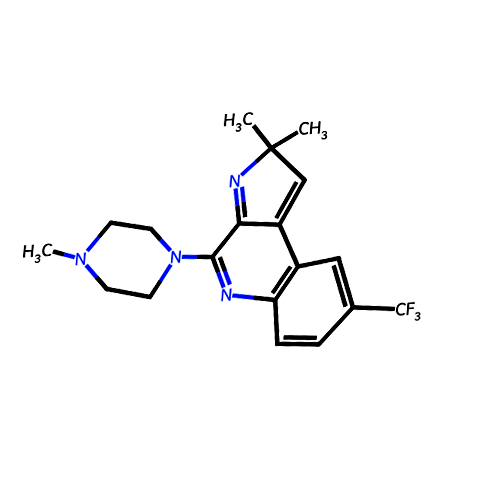 CN1CCN(c2nc3ccc(C(F)(F)F)cc3c3c2=NC(C)(C)C=3)CC1